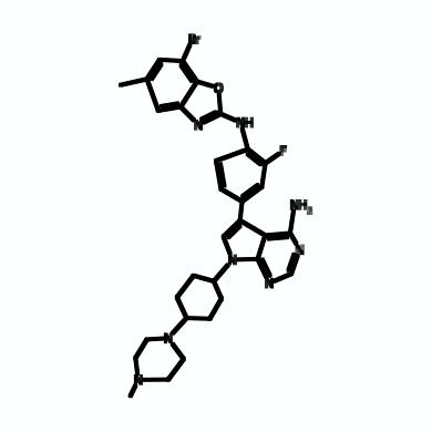 Cc1cc(Br)c2oc(Nc3ccc(-c4cn(C5CCC(N6CCN(C)CC6)CC5)c5ncnc(N)c45)cc3F)nc2c1